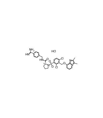 Cc1nc2c(OCc3c(Cl)ccc(S(=O)(=O)N4CCC[C@H]4C(=O)NCc4ccc(C(=N)N)cc4)c3Cl)cccn2c1C.Cl